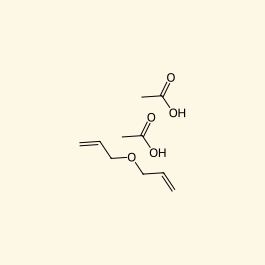 C=CCOCC=C.CC(=O)O.CC(=O)O